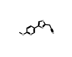 COc1ccc(-c2csc(CC#N)n2)cn1